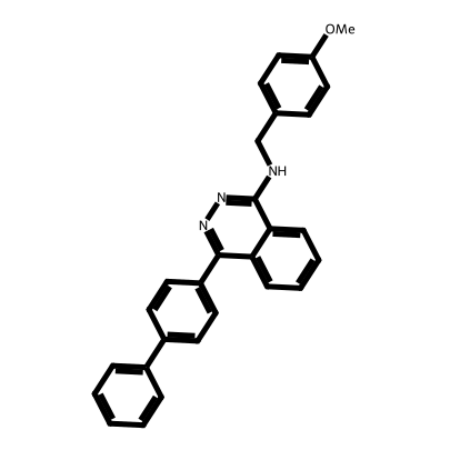 COc1ccc(CNc2nnc(-c3ccc(-c4ccccc4)cc3)c3ccccc23)cc1